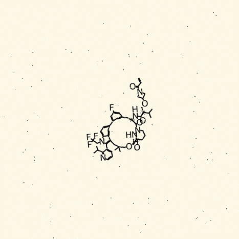 C=CC(=O)N1CC(OC[C@H](C(=O)N[C@H]2Cc3cc(F)cc(c3)-c3ccc4c(c3)c(c(-c3cccnc3C(C)C)n4CC(F)(F)F)CC(C)(C)COC(=O)[C@@H]3CCCN(N3)C2=O)C(C)C)C1